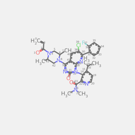 C=CC(=O)N1CC(C)N(c2nc(=O)n(-c3c(C(C)C)ccnc3C(=O)N(C)C)c3nc(-c4ccccc4F)c(Cl)cc23)CC1C